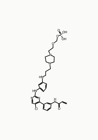 C=CC(=O)Nc1cccc(-c2nc(Nc3cccc(NCCCN4CCN(CCOCOP(=O)(O)O)CC4)c3)ncc2Cl)c1